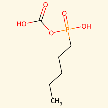 CCCCCP(=O)(O)OC(=O)O